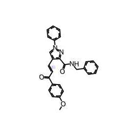 COc1ccc(C(=O)/C=C/c2cn(-c3ccccc3)nc2C(=O)NCc2ccccc2)cc1